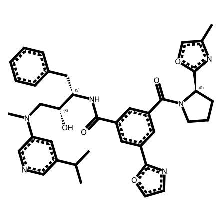 Cc1coc([C@H]2CCCN2C(=O)c2cc(C(=O)N[C@@H](Cc3ccccc3)[C@H](O)CN(C)c3cncc(C(C)C)c3)cc(-c3ncco3)c2)n1